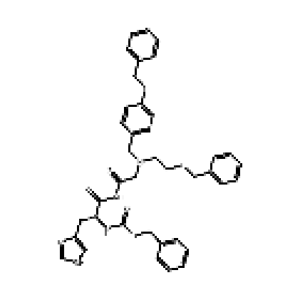 O=C(CN(CCOCc1ccccc1)Cc1ccc(OCc2ccccc2)cc1)NC(=O)[C@H](Cc1c[nH]cn1)NC(=O)OCc1ccccc1